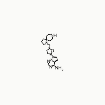 Nc1ncnn2c([C@H]3CC[C@@H](CN4CCCC45CCNCC5)O3)ccc12